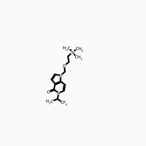 CC(n1ccc2c(ccn2COCC[Si](C)(C)C)c1=O)C(F)(F)F